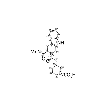 CNC(=O)[C@H]1Cc2c([nH]c3ccccc23)CN1C(=O)C[C@H]1CCCN(C(=O)O)C1